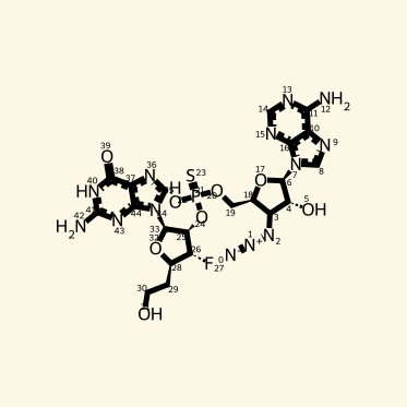 [N-]=[N+]=NC1[C@@H](O)[C@H](n2cnc3c(N)ncnc32)O[C@@H]1COP(O)(=S)O[C@@H]1[C@H](F)[C@@H](CCO)O[C@H]1n1cnc2c(=O)[nH]c(N)nc21